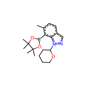 Cc1ccc2cnn(C3CCCCO3)c2c1B1OC(C)(C)C(C)(C)O1